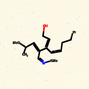 CN\N=C/C(=C\C(C)OC)C(/C=C\CCC(C)C)=C\CO